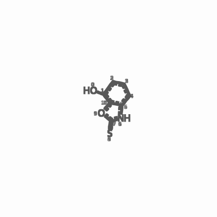 Oc1cccc2[nH]c(=S)oc12